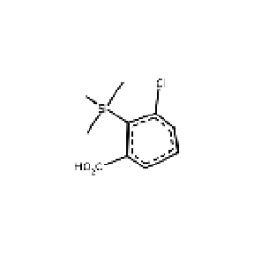 C[Si](C)(C)c1c(Cl)cccc1C(=O)O